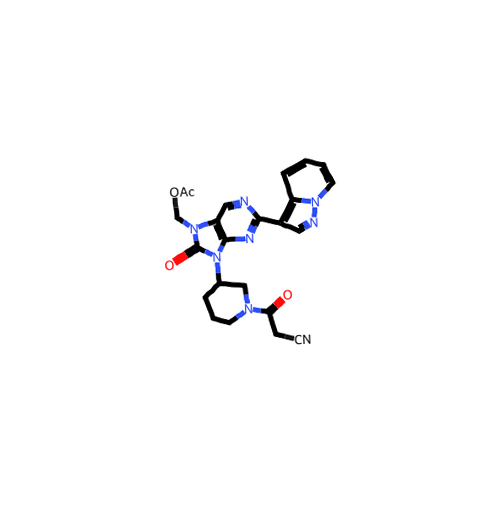 CC(=O)OCn1c(=O)n(C2CCCN(C(=O)CC#N)C2)c2nc(-c3cnn4ccccc34)ncc21